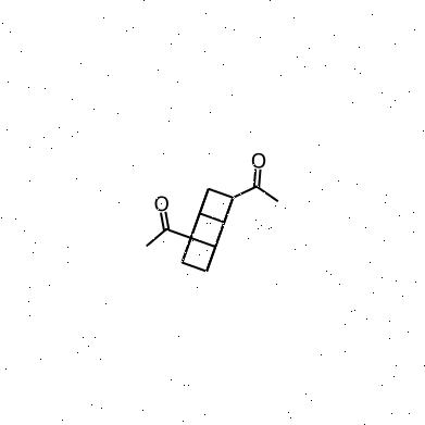 CC(=O)C12C3C4C1C1C2C3C41C(C)=O